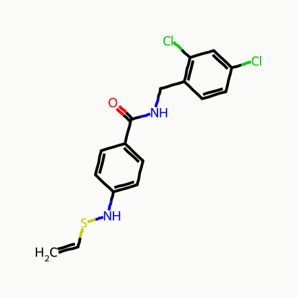 C=CSNc1ccc(C(=O)NCc2ccc(Cl)cc2Cl)cc1